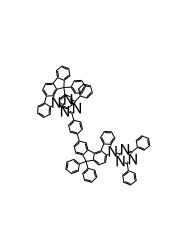 c1ccc(-c2nc(-c3ccccc3)nc(-n3c4ccccc4c4c5c(ccc43)C(c3ccccc3)(c3ccccc3)c3ccc(-c4ccc(-c6nc(-c7ccccc7)nc(-n7c8ccccc8c8ccc9c(c87)C(c7ccccc7)(c7ccccc7)c7ccccc7-9)n6)cc4)cc3-5)n2)cc1